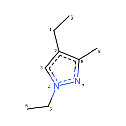 [CH2]Cc1cn(CC)nc1C